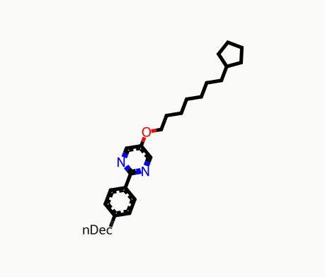 CCCCCCCCCCc1ccc(-c2ncc(OCCCCCCCC3CCCC3)cn2)cc1